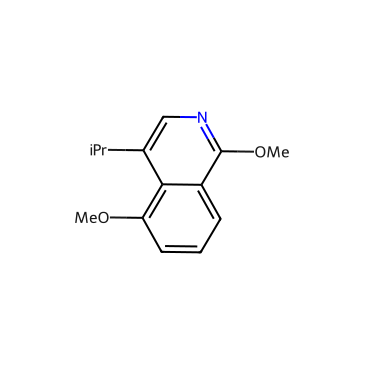 COc1ncc(C(C)C)c2c(OC)cccc12